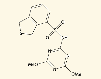 COc1nc(NS(=O)(=O)c2cccc3c2CSC3)nc(OC)n1